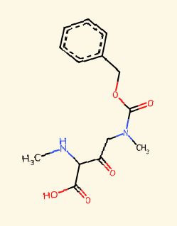 CNC(C(=O)O)C(=O)CN(C)C(=O)OCc1ccccc1